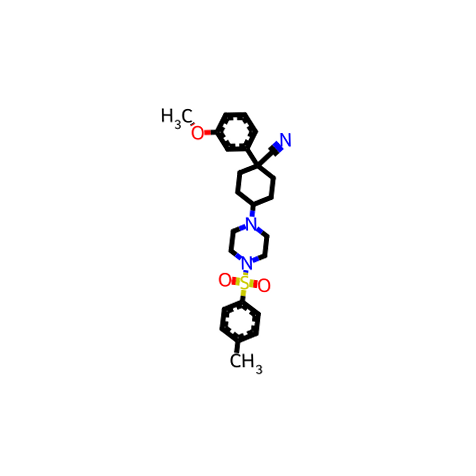 COc1cccc(C2(C#N)CCC(N3CCN(S(=O)(=O)c4ccc(C)cc4)CC3)CC2)c1